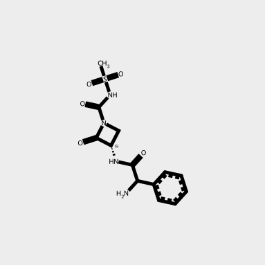 CS(=O)(=O)NC(=O)N1C[C@H](NC(=O)C(N)c2ccccc2)C1=O